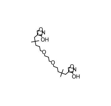 CC(C)(CCCOCCCOCCCC(C)(C)Cc1conc1O)Cc1conc1O